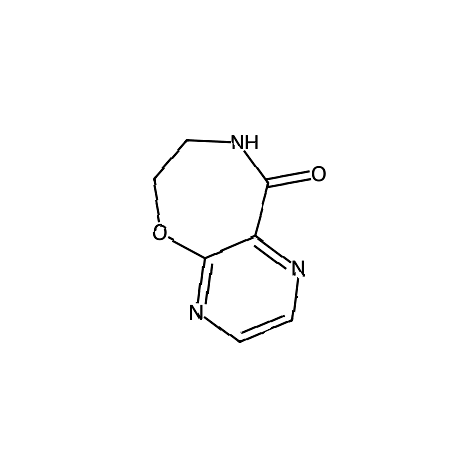 O=C1NCCOc2nccnc21